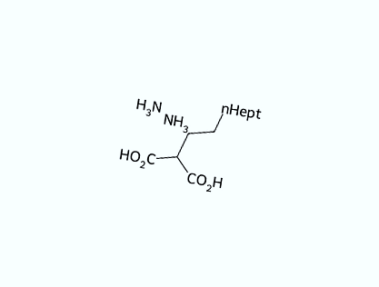 CCCCCCCCCC(C(=O)O)C(=O)O.N.N